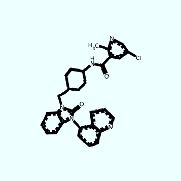 Cc1ncc(Cl)cc1C(=O)NC1CCC(Cn2c(=O)n(-c3cccc4ncccc34)c3ccccc32)CC1